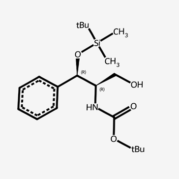 CC(C)(C)OC(=O)N[C@H](CO)[C@H](O[Si](C)(C)C(C)(C)C)c1ccccc1